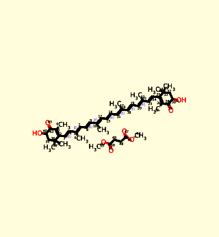 CC1=C(/C=C/C(C)=C/C=C/C(C)=C/C=C/C=C(C)/C=C/C=C(C)/C=C/C2=C(C)C(=O)C(O)CC2(C)C)C(C)(C)CC(O)C1=O.COC(=O)CCC(=O)OC